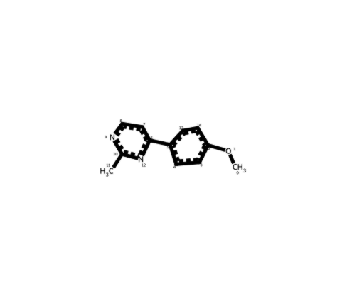 COc1ccc(-c2ccnc(C)n2)cc1